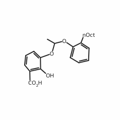 CCCCCCCCc1ccccc1OC(C)Oc1cccc(C(=O)O)c1O